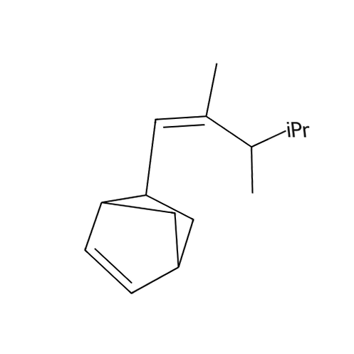 CC(=CC1CC2C=CC1C2)C(C)C(C)C